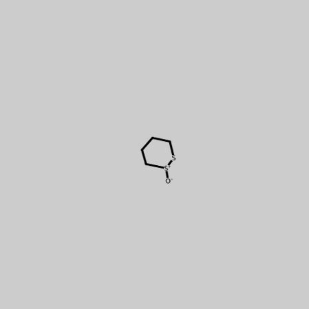 [O-][S+]1CCCCS1